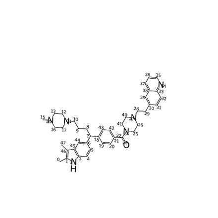 Cc1[nH]c2ccc(C(CCCN3CCN(C)CC3)c3ccc(C(=O)N4CCN(CCc5ccc6ncccc6c5)CC4)cc3)cc2c1C